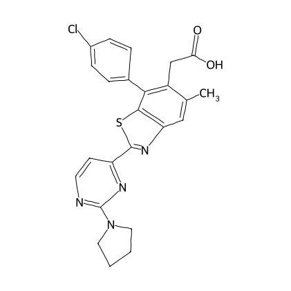 Cc1cc2nc(-c3ccnc(N4CCCC4)n3)sc2c(-c2ccc(Cl)cc2)c1CC(=O)O